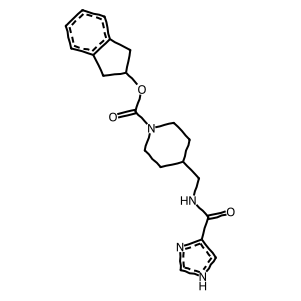 O=C(NCC1CCN(C(=O)OC2Cc3ccccc3C2)CC1)c1c[nH]cn1